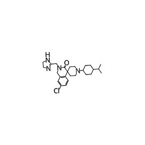 CC(C)C1CCC(N2CCC3(CC2)C(=O)N(CC2=NCCN2)Cc2cc(Cl)ccc23)CC1